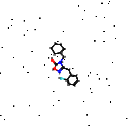 O=c1onc(Cc2ccccc2F)n1CC1CCCCC1